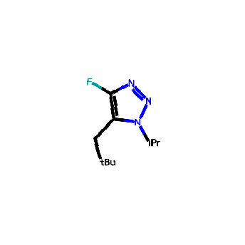 CC(C)n1nnc(F)c1CC(C)(C)C